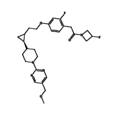 COCc1cnc(N2CCC([C@H]3CC3CCOc3ccc(CC(=O)N4CC(F)C4)c(F)c3)CC2)nc1